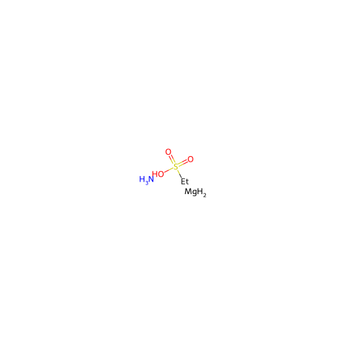 CCS(=O)(=O)O.N.[MgH2]